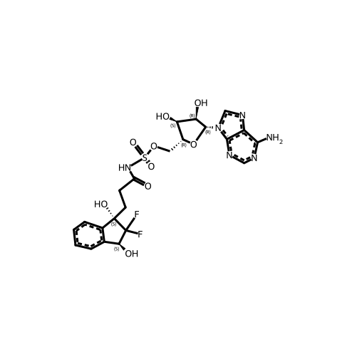 Nc1ncnc2c1ncn2[C@@H]1O[C@H](COS(=O)(=O)NC(=O)CC[C@]2(O)c3ccccc3[C@H](O)C2(F)F)[C@@H](O)[C@H]1O